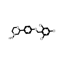 CCCN1CCOC(c2ccc(OCc3c(Cl)cc(Cl)cc3Cl)cc2)C1